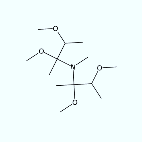 COC(C)C(C)(OC)N(C)C(C)(OC)C(C)OC